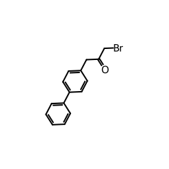 O=C(CBr)Cc1ccc(-c2ccccc2)cc1